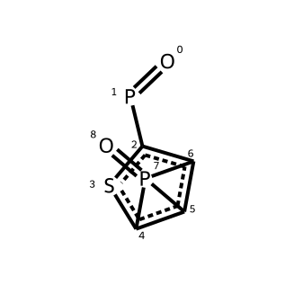 O=Pc1sc2c3c1P23=O